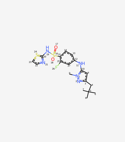 Cn1nc(CC(C)(C)C)cc1Nc1ccc(S(=O)(=O)Nc2nccs2)c(F)c1